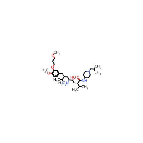 COCCCOc1cc(C[C@@H](C[C@H](N)[C@@H](O)C[C@H](C(=O)NC2CCN(CC(C)C)CC2)C(C)C)C(C)C)ccc1OC